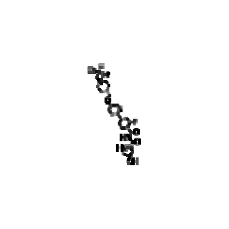 CCC(F)(CC)CN1CCC(COc2ccc(-c3ccc(C(=O)NC(=O)[C@@H]4C[C@@H](O)CN4)c(F)c3)nc2)CC1